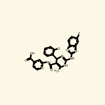 CC1=C(C(=O)Nc2cc(C(=O)O)ccn2)C(c2ccccc2Cl)N=C(Nc2nc3cc(F)ccc3o2)N1